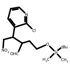 CC(C)(C)[Si](C)(C)OCCC(C=O)C(C[N+](=O)[O-])c1cccnc1Cl